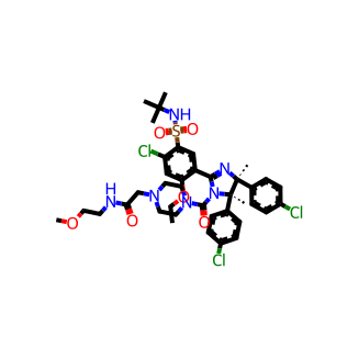 CCOc1cc(Cl)c(S(=O)(=O)NC(C)(C)C)cc1C1=N[C@@](C)(c2ccc(Cl)cc2)[C@@](C)(c2ccc(Cl)cc2)N1C(=O)N1CCN(CC(=O)NCCOC)CC1